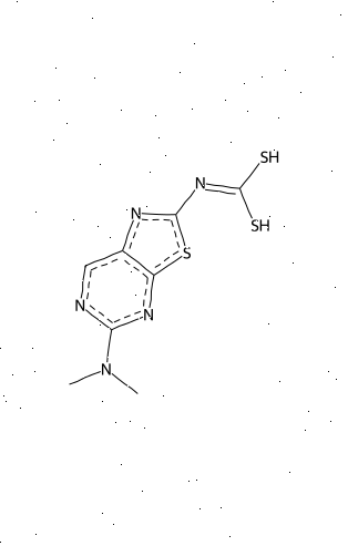 CN(C)c1ncc2nc(N=C(S)S)sc2n1